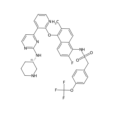 Cc1ccc2c(NS(=O)(=O)Cc3ccc(OC(F)(F)F)cc3)c(F)ccc2c1Oc1ncccc1-c1ccnc(N[C@H]2CCCNC2)n1